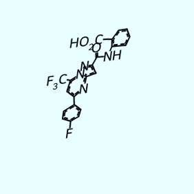 O=C(Nc1ccccc1C(=O)O)c1cc2nc(-c3ccc(F)cc3)cc(C(F)(F)F)n2n1